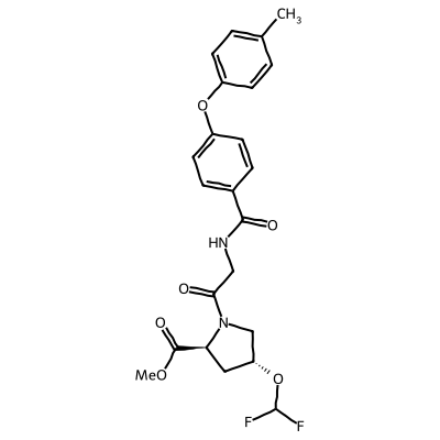 COC(=O)[C@@H]1C[C@@H](OC(F)F)CN1C(=O)CNC(=O)c1ccc(Oc2ccc(C)cc2)cc1